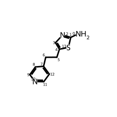 Nc1ncc(CCc2ccncc2)s1